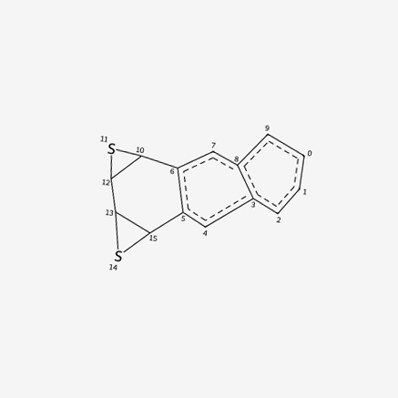 c1ccc2cc3c(cc2c1)C1SC1C1SC31